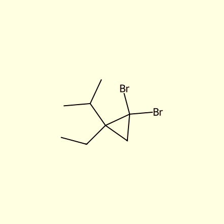 CCC1(C(C)C)CC1(Br)Br